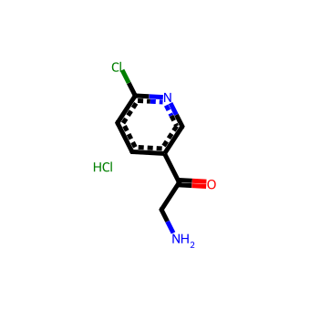 Cl.NCC(=O)c1ccc(Cl)nc1